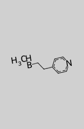 CBCCc1ccncc1